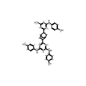 Nc1nc(Nc2ccc(O)cc2)nc(C2CC3CC2CC3c2nc(Nc3ccc(O)cc3)nc(Nc3ccc(O)cc3)n2)n1